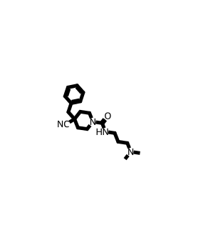 CN(C)CCCNC(=O)N1CCC(C#N)(Cc2ccccc2)CC1